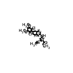 C=CC(=O)N1C[C@@H](Nc2ncc3cc(-c4c(Cl)c(OC)cc(OC)c4Cl)ccc3n2)C[C@H]1COC